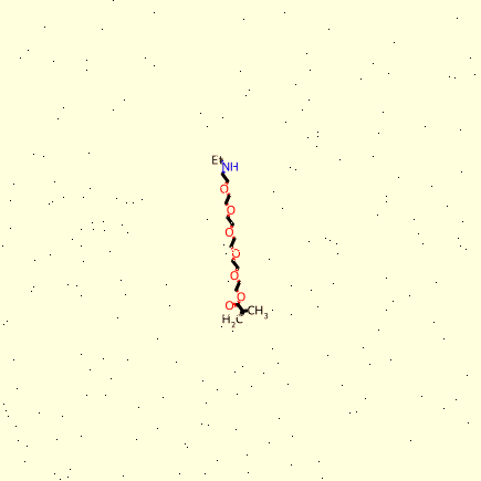 C=C(C)C(=O)OCCOCCOCCOCCOCCOCCNCC